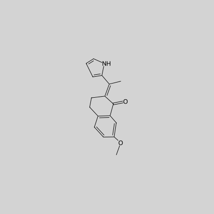 COc1ccc2c(c1)C(=O)C(=C(C)c1ccc[nH]1)CC2